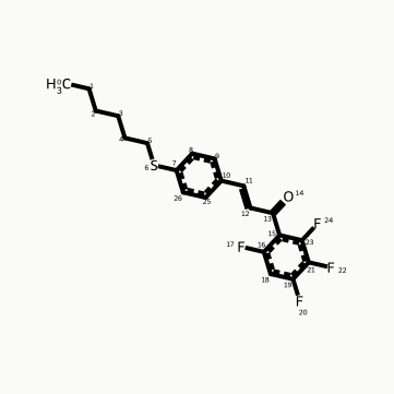 CCCCCCSc1ccc(/C=C/C(=O)c2c(F)cc(F)c(F)c2F)cc1